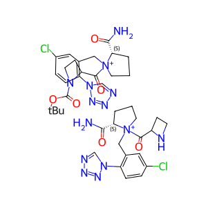 CC(C)(C)OC(=O)N1CCC1C(=O)[N+]1(Cc2cc(Cl)ccc2-n2cnnn2)CCC[C@H]1C(N)=O.NC(=O)[C@@H]1CCC[N+]1(Cc1cc(Cl)ccc1-n1cnnn1)C(=O)C1CCN1